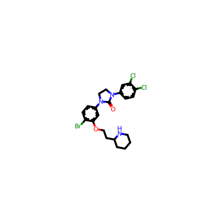 O=C1N(c2ccc(Cl)c(Cl)c2)CCN1c1ccc(Br)c(OCCC2CCCCN2)c1